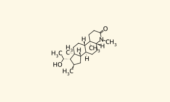 CC(O)[C@H]1[C@H](C)C[C@H]2[C@@H]3CC[C@H]4N(C)C(=O)CC[C@]4(C)[C@H]3CC[C@@]21C